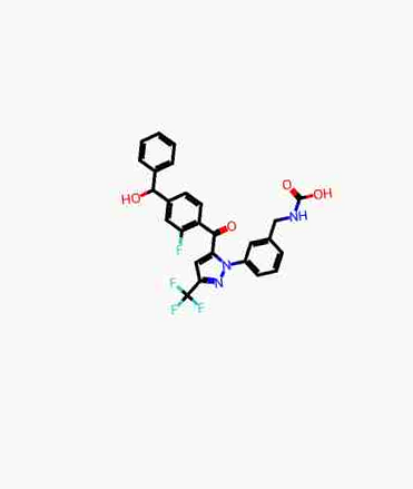 O=C(O)NCc1cccc(-n2nc(C(F)(F)F)cc2C(=O)c2ccc(C(O)c3ccccc3)cc2F)c1